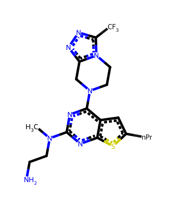 CCCc1cc2c(N3CCn4c(nnc4C(F)(F)F)C3)nc(N(C)CCN)nc2s1